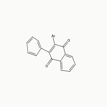 CC(=O)C1=C(c2ccccc2)C(=O)c2ccccc2C1=O